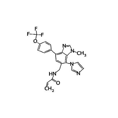 C=CC(=O)NCc1cc(-c2ccc(OC(F)(F)F)cc2)c2ncn(C)c2c1-n1ccnc1